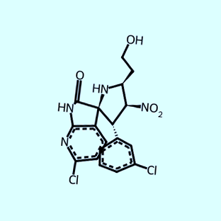 O=C1Nc2nc(Cl)ccc2[C@]12N[C@@H](CCO)[C@@H]([N+](=O)[O-])[C@@H]2c1cccc(Cl)c1